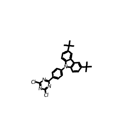 CC(C)(C)c1ccc2c(c1)c1cc(C(C)(C)C)ccc1n2-c1ccc(-c2nc(Cl)nc(Cl)n2)cc1